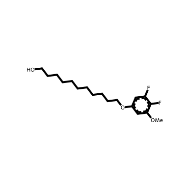 COc1cc(OCCCCCCCCCCCO)cc(F)c1F